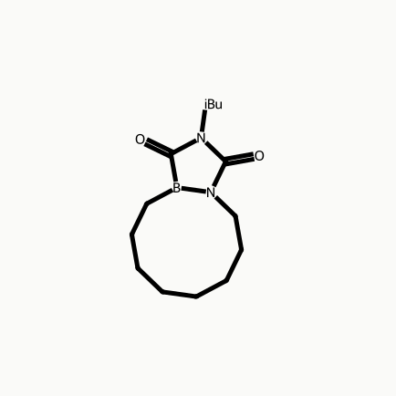 CCC(C)N1C(=O)B2CCCCCCCCN2C1=O